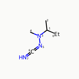 CCC(C)N(C)N=C=N